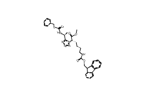 COC(=O)[C@H](CCCCNC(=O)OCC1c2ccccc2-c2ccccc21)n1nnnc1[C@H](C)NC(=O)OCc1ccccc1